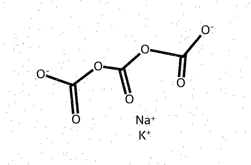 O=C([O-])OC(=O)OC(=O)[O-].[K+].[Na+]